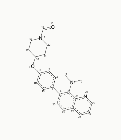 CN(C)c1c(-c2ccc(OC3CCN(C=O)CC3)cc2)ccc2cccnc12